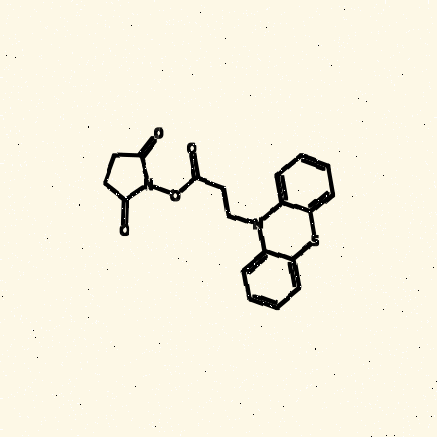 O=C(CCN1c2ccccc2Sc2ccccc21)ON1C(=O)CCC1=O